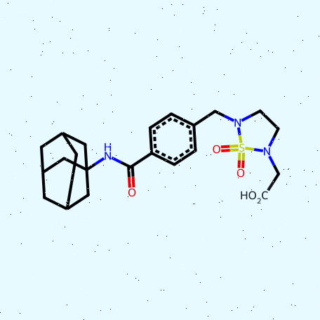 O=C(O)CN1CCN(Cc2ccc(C(=O)NC34CC5CC(CC(C5)C3)C4)cc2)S1(=O)=O